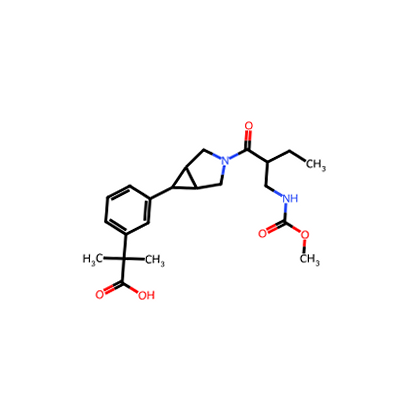 CCC(CNC(=O)OC)C(=O)N1CC2C(C1)C2c1cccc(C(C)(C)C(=O)O)c1